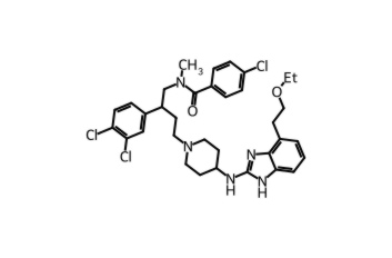 CCOCCc1cccc2[nH]c(NC3CCN(CCC(CN(C)C(=O)c4ccc(Cl)cc4)c4ccc(Cl)c(Cl)c4)CC3)nc12